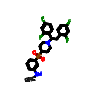 O=CNc1cccc(S(=O)(=O)C2CCN(C(Cc3ccc(F)cc3F)c3ccc(F)cc3F)CC2)c1